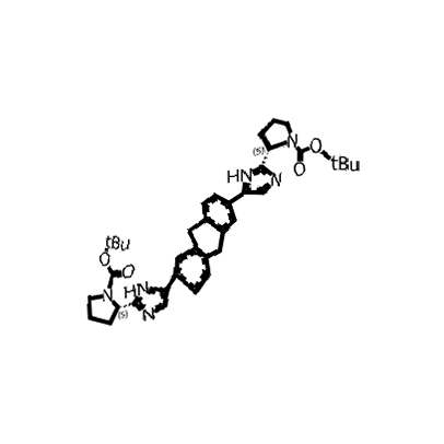 CC(C)(C)OC(=O)N1CCC[C@H]1c1ncc(-c2ccc3c(c2)Cc2ccc(-c4cnc([C@@H]5CCCN5C(=O)OC(C)(C)C)[nH]4)cc2C3)[nH]1